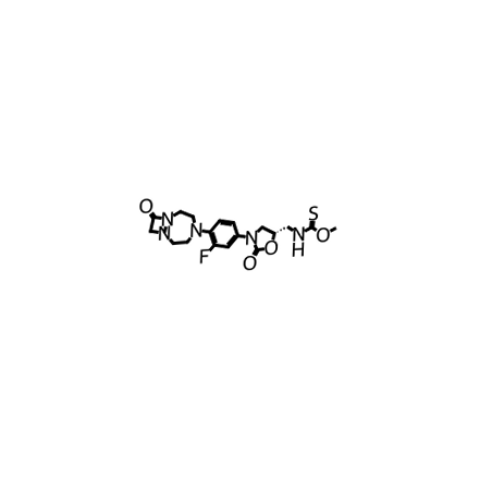 COC(=S)NC[C@H]1CN(c2ccc(N3CCN4CC(=O)N4CC3)c(F)c2)C(=O)O1